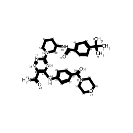 CC(C)(C)c1ccc(C(=O)NC2CCCN(c3nnc(C(N)=O)c(Nc4ccc(C(=O)N5CCOCC5)cc4)n3)C2)cc1